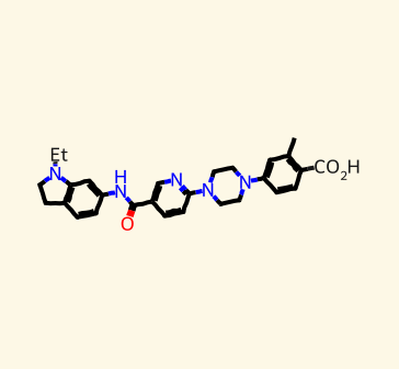 CCN1CCc2ccc(NC(=O)c3ccc(N4CCN(c5ccc(C(=O)O)c(C)c5)CC4)nc3)cc21